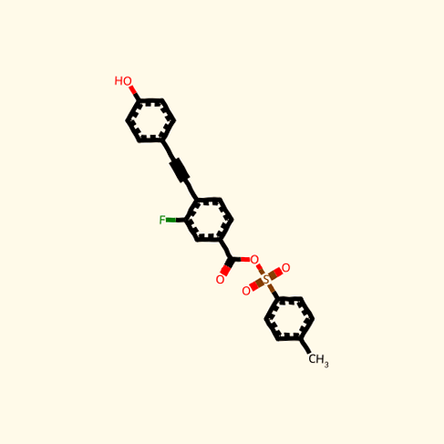 Cc1ccc(S(=O)(=O)OC(=O)c2ccc(C#Cc3ccc(O)cc3)c(F)c2)cc1